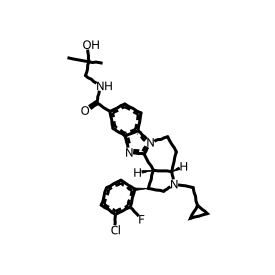 CC(C)(O)CNC(=O)c1ccc2c(c1)nc1n2CC[C@H]2[C@@H]1[C@H](c1cccc(Cl)c1F)CN2CC1CC1